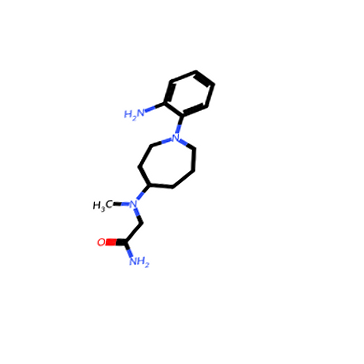 CN(CC(N)=O)C1CCCN(c2ccccc2N)CC1